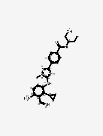 CCC(CO)NC(=O)c1ccc(-c2nc(Nc3ccc(N)c(C=N)c3C3CC3)n(C)n2)cc1